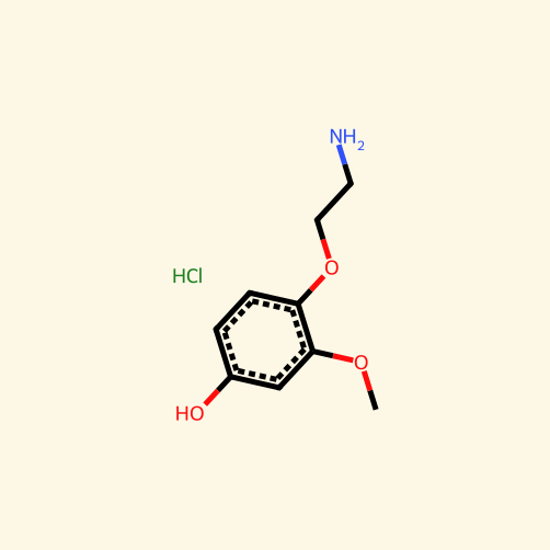 COc1cc(O)ccc1OCCN.Cl